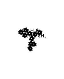 Cc1cccc(C)c1-c1ccc(N(c2ccc(-c3cccc(-c4ccccc4-c4ccccc4)c3)cc2)c2ccc(-c3ccc(-c4ccccc4)c4ccccc34)cc2)cc1